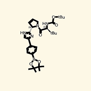 CC(C)(C)OC(=O)N[C@H](C(=O)N1CC=C[C@H]1c1nc(-c2ccc(B3OC(C)(C)C(C)(C)O3)cc2)c[nH]1)C(C)(C)C